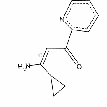 N/C(=C/C(=O)c1ccccn1)C1CC1